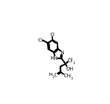 C=C(C)CC(O)(c1nc2cc(Cl)c(Cl)cc2[nH]1)C(F)(F)F